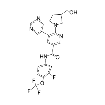 O=C(Nc1ccc(OC(F)(F)F)c(F)c1)c1cnc(N2CCC(CO)C2)c(-c2cncnc2)c1